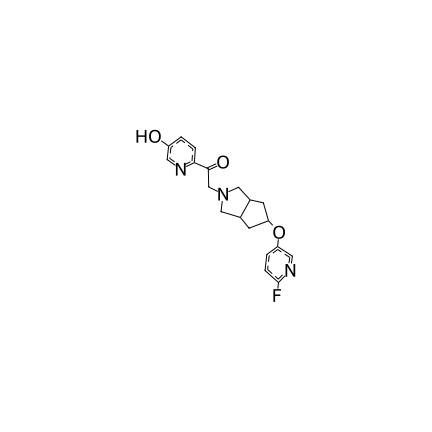 O=C(CN1CC2CC(Oc3ccc(F)nc3)CC2C1)c1ccc(O)cn1